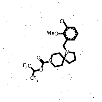 COc1c(Cl)cccc1CN1CCCC12CCN(C(=O)OC(C(F)(F)F)C(F)(F)F)CC2